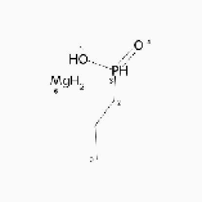 CCC[PH](=O)O.[MgH2]